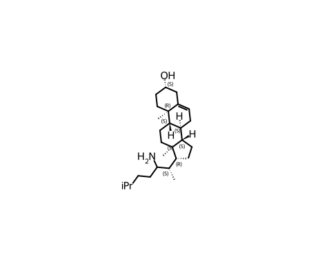 CC(C)CCC(N)[C@@H](C)[C@H]1CC[C@H]2[C@@H]3CC=C4C[C@@H](O)CC[C@]4(C)[C@H]3CC[C@]12C